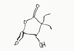 CC1(C)C(=O)OC(=O)C1O